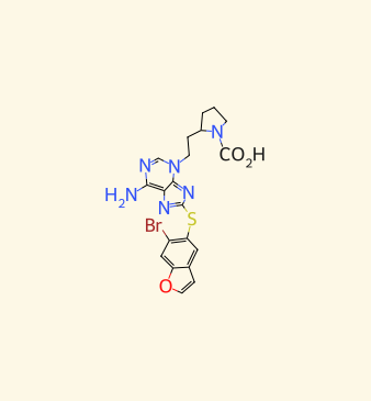 Nc1ncn(CCC2CCCN2C(=O)O)c2nc(Sc3cc4ccoc4cc3Br)nc1-2